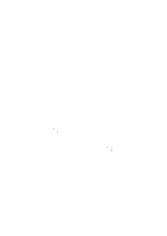 COc1ccc2c(c1)N(C)C(=O)C2(C)CCN